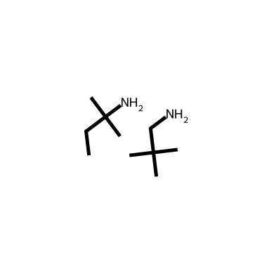 CC(C)(C)CN.CCC(C)(C)N